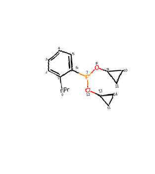 CCCc1ccccc1P(OC1CC1)OC1CC1